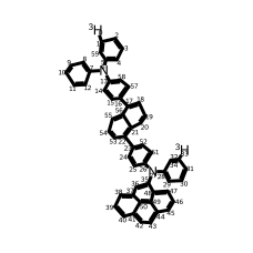 [3H]c1cccc(N(c2ccccc2)c2ccc(-c3cccc4c(-c5ccc(N(c6cccc([3H])c6)c6cc7cccc8ccc9cccc6c9c87)cc5)cccc34)cc2)c1